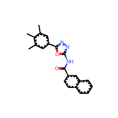 Cc1cc(-c2nnc(NC(=O)c3ccc4ccccc4c3)o2)cc(C)c1C